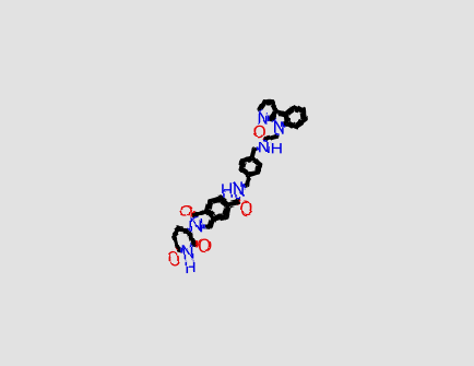 O=C(Cn1c2ccccc2c2cccnc21)NCc1ccc(CNC(=O)c2ccc3c(c2)CN(C2CCC(=O)NC2=O)C3=O)cc1